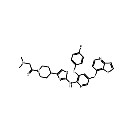 CN(C)CC(=O)N1CCC(c2csc(Nc3ncc(Sc4ccnc5ccsc45)cc3Oc3ccc(F)cc3)n2)CC1